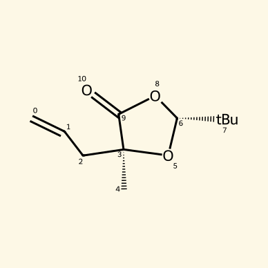 C=CC[C@]1(C)O[C@@H](C(C)(C)C)OC1=O